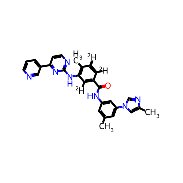 [2H]c1c([2H])c(C(=O)Nc2cc(C)cc(-n3cnc(C)c3)c2)c([2H])c(Nc2nccc(-c3cccnc3)n2)c1C